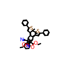 CCOC(=O)C1(C#N)C2C3=C4C=C(c5ccccc5)SC4(C)C4(C)SC(c5ccccc5)=CC4=C3C(C2=C2CCCCC2)C1(C#N)C(=O)OCC